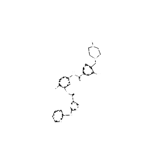 CCN1CCN(Cc2ccc(C(=O)Nc3ccc(C)c(NC(=O)c4cnc(Nc5ccccn5)s4)c3)cc2C(F)(F)F)CC1